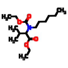 CCCCCCN(C(=O)OCC)C(C(=O)OCC)C(C)C